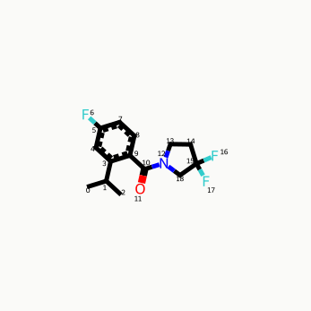 CC(C)c1cc(F)ccc1C(=O)N1CCC(F)(F)C1